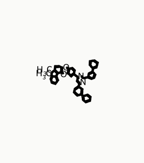 CC1(C)c2ccccc2-c2c1ccc1c2Oc2cc(-c3cc(-c4cccc(-c5ccccc5)c4)nc(-c4cccc(-c5ccccc5)c4)n3)ccc2O1